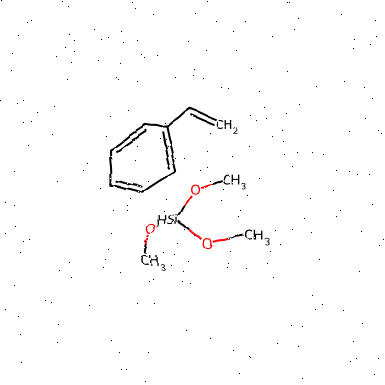 C=Cc1ccccc1.CO[SiH](OC)OC